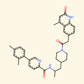 Cc1ccc(-c2ccc(C(=O)NC(C)CC3CCN(C(=O)Cc4ccc5[nH]c(=O)cc(C)c5c4)CC3)nc2)c(C)c1